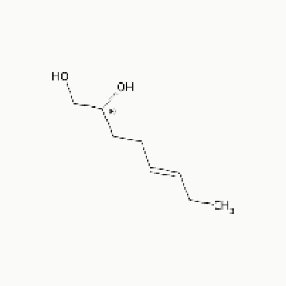 CCC=CCC[C@@H](O)CO